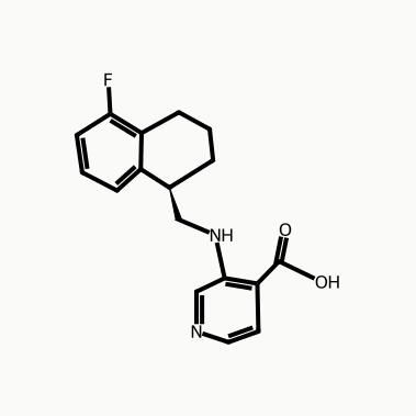 O=C(O)c1ccncc1NC[C@@H]1CCCc2c(F)cccc21